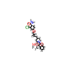 CN(C)C(=O)c1ccc(OCC(C)(C)CCC2CCN(C(=O)C(O)(c3ccccc3)C(F)(F)F)CC2)cc1Cl